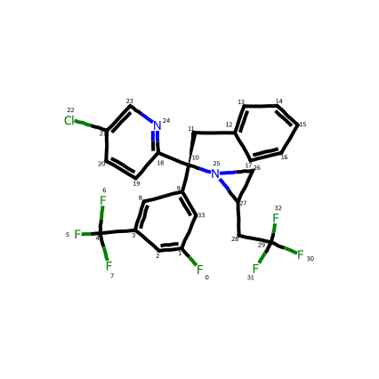 Fc1cc(C(F)(F)F)cc([C@](Cc2ccccc2)(c2ccc(Cl)cn2)N2CC2CC(F)(F)F)c1